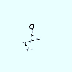 CCC(C)C(OC(=O)C(C)OC(=O)C(NC(=O)OCc1ccccc1)C(C)O[Si](C)(C)C(C)(C)C)C(=O)OC(C)(C)C